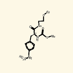 CCOCCNC(=O)[C@H](Cc1ccc(NS(=O)(=O)O)cc1)NC(=O)OC(C)(C)C